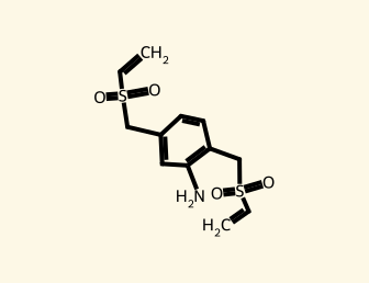 C=CS(=O)(=O)Cc1ccc(CS(=O)(=O)C=C)c(N)c1